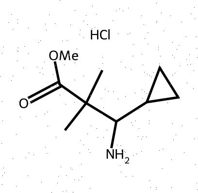 COC(=O)C(C)(C)C(N)C1CC1.Cl